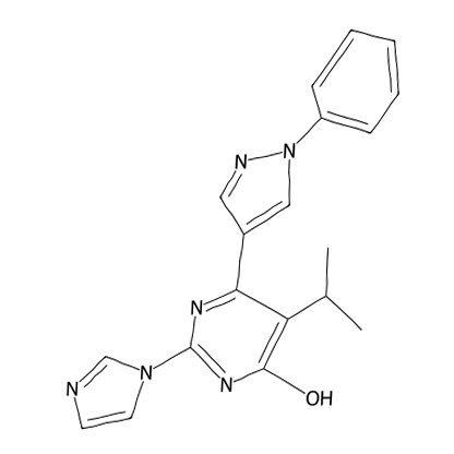 CC(C)c1c(O)nc(-n2ccnc2)nc1-c1cnn(-c2ccccc2)c1